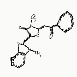 CN1C(=O)C(C2Sc3ccccc3N2C)SC1=CC(=O)c1ccccc1